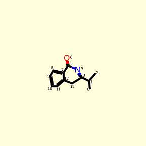 CC(C)C1=NC(=O)c2ccccc2C1